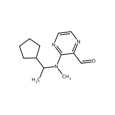 CC(C1CCCC1)N(C)c1nccnc1C=O